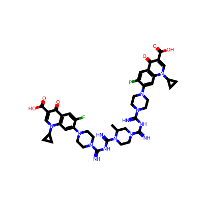 CC1CN(C(=N)NC(=N)N2CCN(c3cc4c(cc3F)c(=O)c(C(=O)O)cn4C3CC3)CC2)CCN1C(=N)NC(=N)N1CCN(c2cc3c(cc2F)c(=O)c(C(=O)O)cn3C2CC2)CC1